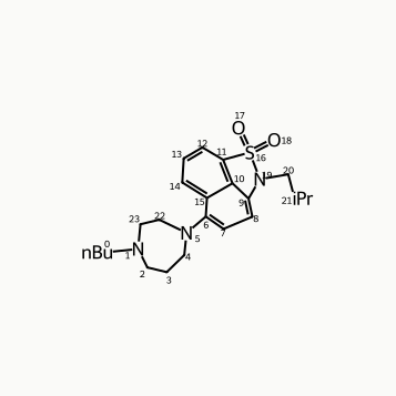 CCCCN1CCCN(c2ccc3c4c(cccc24)S(=O)(=O)N3CC(C)C)CC1